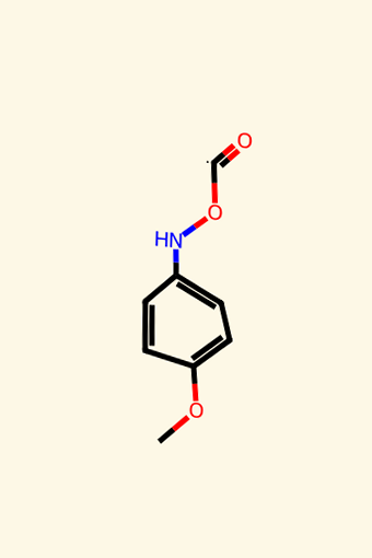 COc1ccc(NO[C]=O)cc1